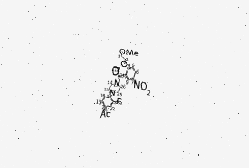 COCCOc1ccc([N+](=O)[O-])cc1C(=O)N1CCN(c2ccc(C(C)=O)cc2F)CC1